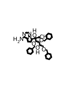 C#C[C@@](O)(c1ccc2c(N)ncnn12)[C@H](OCc1ccccc1)[C@H](OCc1ccccc1)[C@H](O)COCc1ccccc1